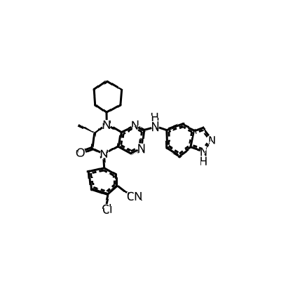 C[C@@H]1C(=O)N(c2ccc(Cl)c(C#N)c2)c2cnc(Nc3ccc4[nH]ncc4c3)nc2N1C1CCCCC1